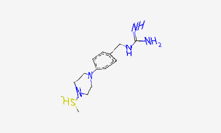 C[SH](C)N1CCN(c2ccc(CNC(=N)N)cc2)CC1